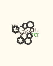 CC1=CC2=C(CCCC2)[CH]1[Zr+2]([CH]1C(C)=CC2=C1CCCC2)=[Si](c1ccccc1)c1ccccc1.[Cl-].[Cl-]